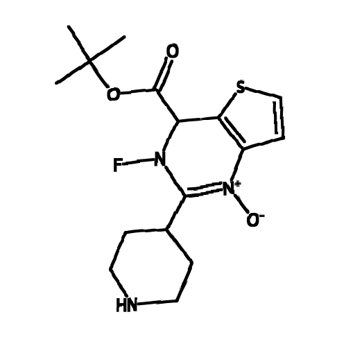 CC(C)(C)OC(=O)C1c2sccc2[N+]([O-])=C(C2CCNCC2)N1F